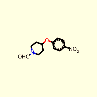 O=CN1CCC(Oc2ccc([N+](=O)[O-])cc2)CC1